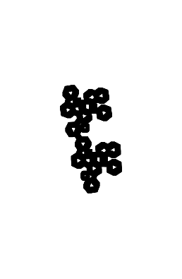 c1ccc(N2c3cc4c(oc5ccccc54)c4c3B(c3ccc5ccccc5c32)n2c3ccc(-c5cccc6c5oc5cc7c8c(c56)-c5cccc6c9ccccc9n(c56)B8c5ccc6ccccc6c5N7c5ccccc5)cc3c3cccc-4c32)cc1